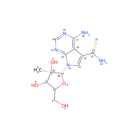 C[C@@]1(O)C(O)C(CO)O[C@H]1n1cc(C(N)=S)c2c(N)ncnc21